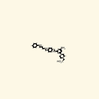 Nc1cc(N2CCN(CC(=O)O)CC2)nc(NC[C@H]2CC[C@H](CNCCCNC3CCCCC3)CC2)n1